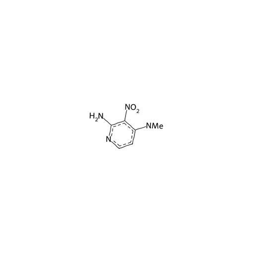 CNc1ccnc(N)c1[N+](=O)[O-]